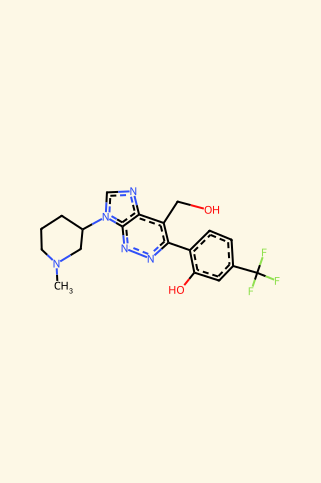 CN1CCCC(n2cnc3c(CO)c(-c4ccc(C(F)(F)F)cc4O)nnc32)C1